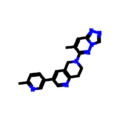 Cc1ccc(-c2cnc3c(c2)CN(c2nn4cnnc4cc2C)CC3)cn1